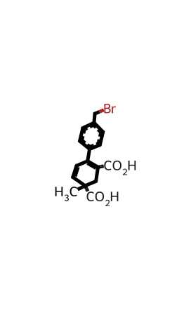 CC1(C(=O)O)C=CC(c2ccc(CBr)cc2)=C(C(=O)O)C1